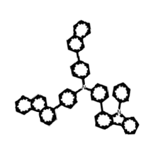 c1ccc(-n2c3ccccc3c3cccc(-c4cccc(N(c5ccc(-c6ccc7ccccc7c6)cc5)c5ccc(-c6cccc7c6ccc6ccccc67)cc5)c4)c32)cc1